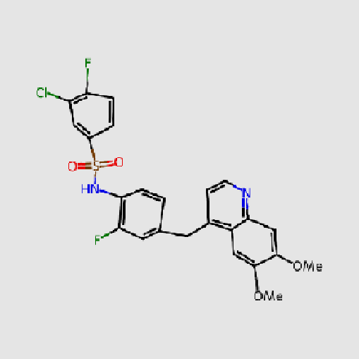 COc1cc2nccc(Cc3ccc(NS(=O)(=O)c4ccc(F)c(Cl)c4)c(F)c3)c2cc1OC